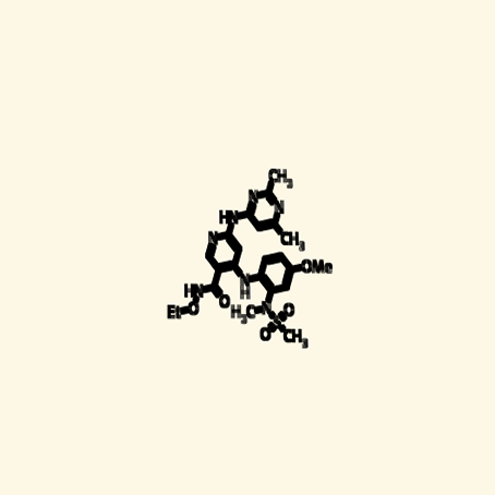 CCONC(=O)c1cnc(Nc2cc(C)nc(C)n2)cc1Nc1ccc(OC)cc1N(C)S(C)(=O)=O